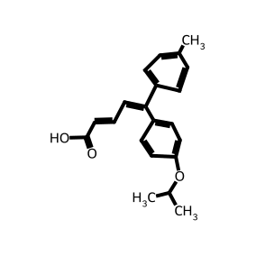 Cc1ccc(C(=CC=CC(=O)O)c2ccc(OC(C)C)cc2)cc1